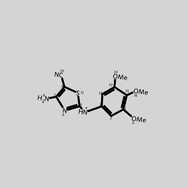 COc1cc(Nc2nc(N)c(C#N)s2)cc(OC)c1OC